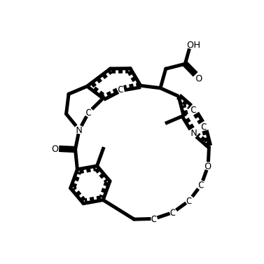 Cc1cc2ccc1C(=O)N1CCc3ccc(cc3C1)C(CC(=O)O)c1ccc(nc1C)OCCCCC2